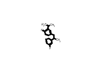 CC(C)c1cc(CC(C)c2cccc(F)c2)ccc1F